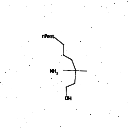 CCCCCCCCC(C)(C)CCO.N